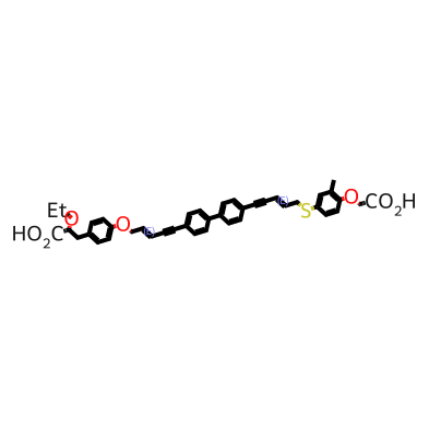 CCOC(Cc1ccc(OC/C=C/C#Cc2ccc(-c3ccc(C#C/C=C/CSc4ccc(OCC(=O)O)c(C)c4)cc3)cc2)cc1)C(=O)O